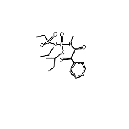 CCC(C)SP(=O)(N(C)C(=O)C(=S)c1ccccc1)N(CC)S(=O)(=O)CC